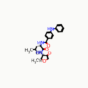 CC(C)C[C@H](NC(=O)c1ccc(Nc2ccccc2)cc1)C(=O)N[C@@H]1C(=O)CO[C@@H]1C